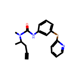 C#CCC(C)N(C)C(=O)Nc1cccc(Sc2ccccn2)c1